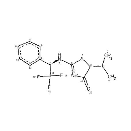 CC(C)[C@H]1SC(N[C@H](c2ccccc2)C(F)(F)F)=NC1=O